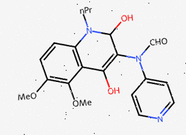 CCCN1c2ccc(OC)c(OC)c2C(O)=C(N(C=O)c2ccncc2)C1O